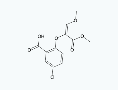 COC=C(Oc1ccc(Cl)cc1C(=O)O)C(=O)OC